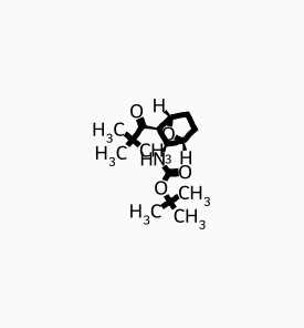 CC(C)(C)OC(=O)N[C@H]1[C@@H](C(=O)C(C)(C)C)[C@@H]2CC[C@H]1O2